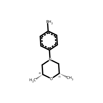 Bc1ccc(N2C[C@@H](C)O[C@@H](C)C2)cc1